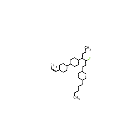 C=C/C=C(\C(F)=C/CC1CCC(CCCCC)CC1)C1CCC(C2CCC(/C=C\C)CC2)CC1